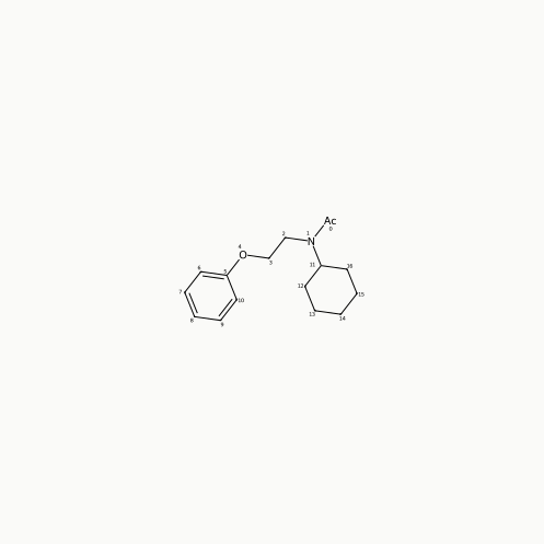 CC(=O)N(CCOc1ccccc1)C1CCCCC1